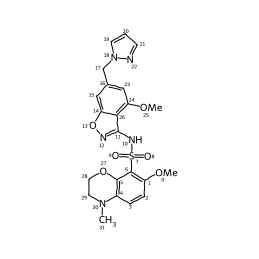 COc1ccc2c(c1S(=O)(=O)Nc1noc3cc(Cn4cccn4)cc(OC)c13)OCCN2C